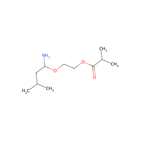 CC(C)CC(N)OCCOC(=O)C(C)C